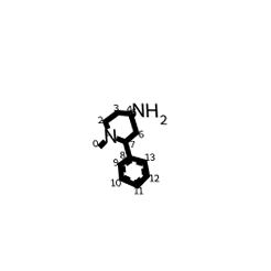 CN1CCC(N)CC1c1ccccc1